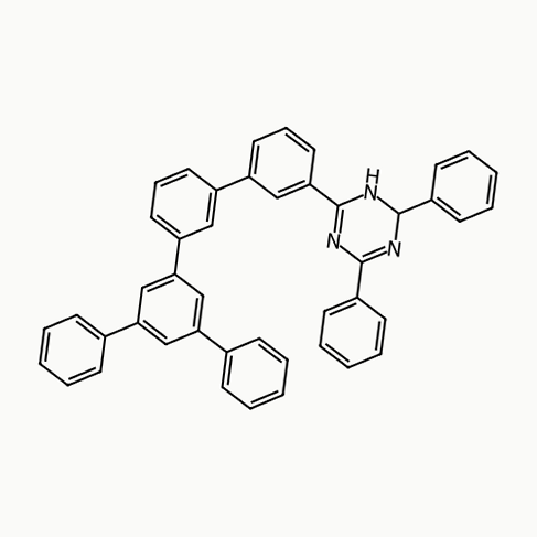 c1ccc(C2=NC(c3ccccc3)NC(c3cccc(-c4cccc(-c5cc(-c6ccccc6)cc(-c6ccccc6)c5)c4)c3)=N2)cc1